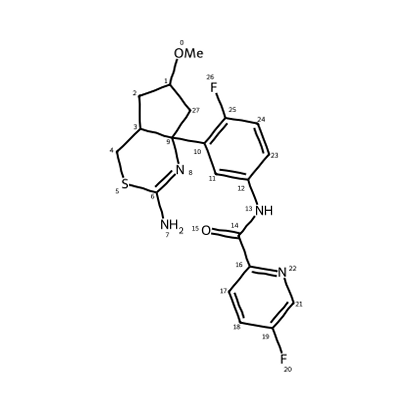 COC1CC2CSC(N)=NC2(c2cc(NC(=O)c3ccc(F)cn3)ccc2F)C1